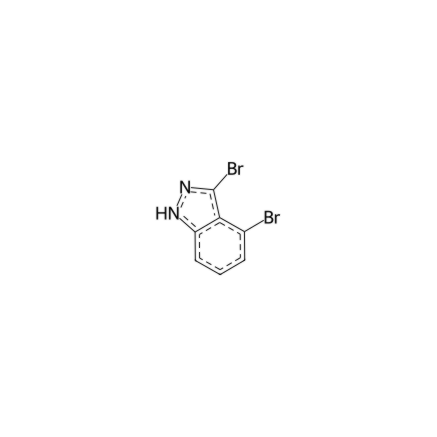 Brc1cccc2[nH]nc(Br)c12